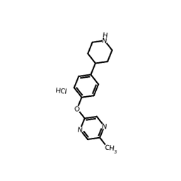 Cc1cnc(Oc2ccc(C3CCNCC3)cc2)cn1.Cl